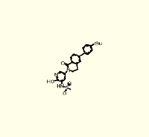 CC(C)(C)c1ccc(-c2ccc3c(c2)CCN(c2cnc(O)c(NS(C)(=O)=O)c2)C3=O)cc1